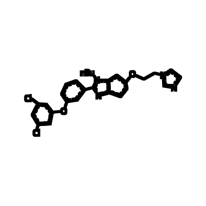 CCCCn1c(-c2cccc(Oc3cc(Cl)cc(Cl)c3)c2)nc2ccc(OCCn3ccnc3)cc21